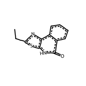 CCc1nc2c([nH]c(=O)c3ccccc32)s1